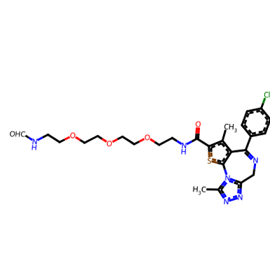 Cc1c(C(=O)NCCOCCOCCOCCNC=O)sc2c1C(c1ccc(Cl)cc1)=NCc1nnc(C)n1-2